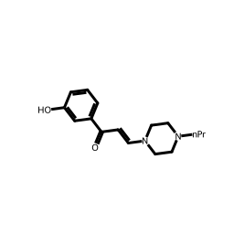 CCCN1CCN(C=CC(=O)c2cccc(O)c2)CC1